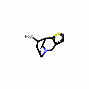 O=C(O)C1CC2CCC3C1c1sccc1CN23